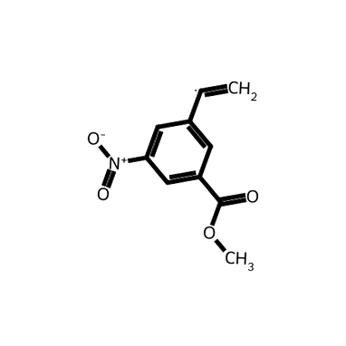 C=[C]c1cc(C(=O)OC)cc([N+](=O)[O-])c1